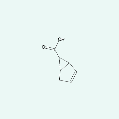 O=C(O)C1C2C=CCC21